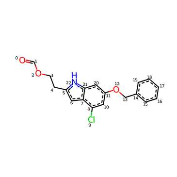 O=COCCc1cc2c(Cl)cc(OCc3ccccc3)cc2[nH]1